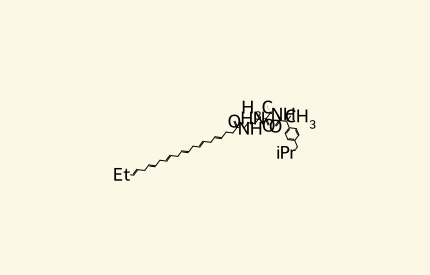 CCC=CCC=CCC=CCC=CCC=CCC=CCCC(=O)NCCNC(=O)[C@H](C)NC(=O)C(C)c1ccc(CC(C)C)cc1